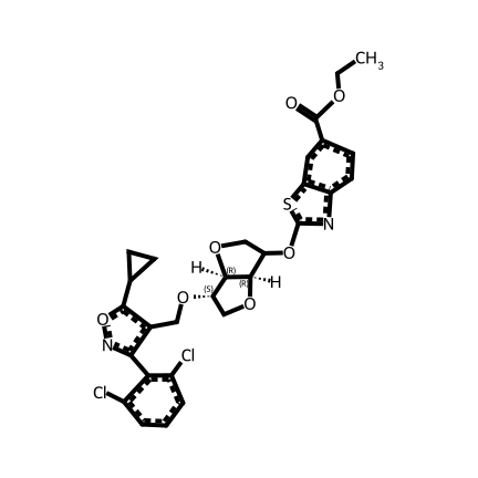 CCOC(=O)c1ccc2nc(OC3CO[C@@H]4[C@@H](OCc5c(-c6c(Cl)cccc6Cl)noc5C5CC5)CO[C@H]34)sc2c1